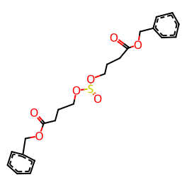 O=C(CCCOS(=O)OCCCC(=O)OCc1ccccc1)OCc1ccccc1